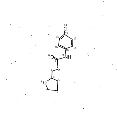 O=C(CCC1CCCO1)Nc1ccc(Cl)cc1